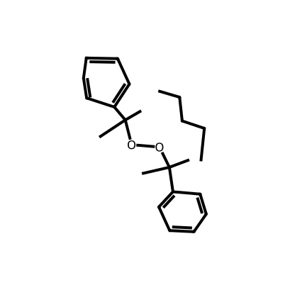 CC(C)(OOC(C)(C)c1ccccc1)c1ccccc1.CCCCC